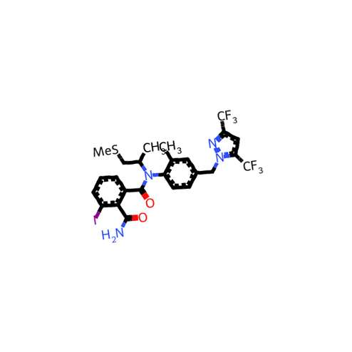 CSCC(C)N(C(=O)c1cccc(I)c1C(N)=O)c1ccc(Cn2nc(C(F)(F)F)cc2C(F)(F)F)cc1C